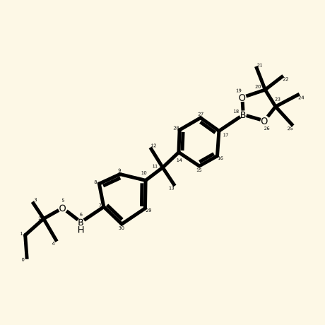 CCC(C)(C)OBc1ccc(C(C)(C)c2ccc(B3OC(C)(C)C(C)(C)O3)cc2)cc1